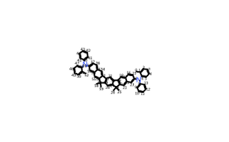 Cc1ccccc1N(c1ccccc1)c1ccc2cc3c(cc2c1)C(C)(C)c1cc2c(cc1-3)-c1cc3ccc(N(c4ccccc4)c4ccccc4C)cc3cc1C2(C)C